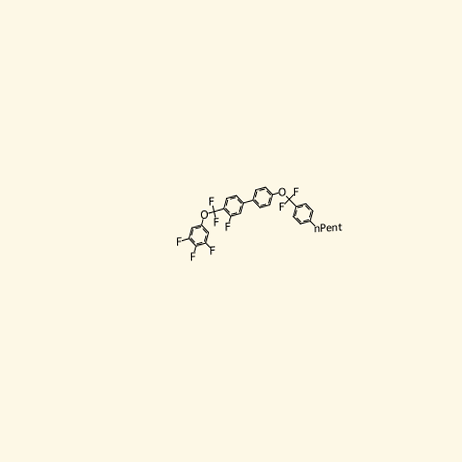 CCCCCc1ccc(C(F)(F)Oc2ccc(-c3ccc(C(F)(F)Oc4cc(F)c(F)c(F)c4)c(F)c3)cc2)cc1